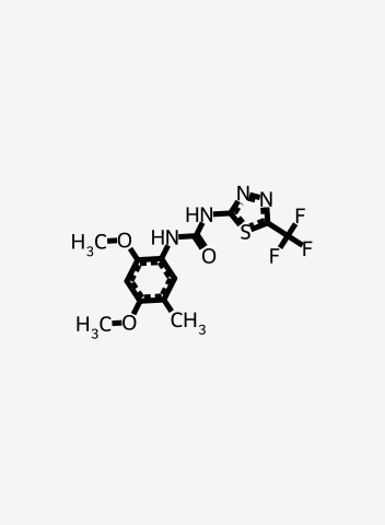 COc1cc(OC)c(NC(=O)Nc2nnc(C(F)(F)F)s2)cc1C